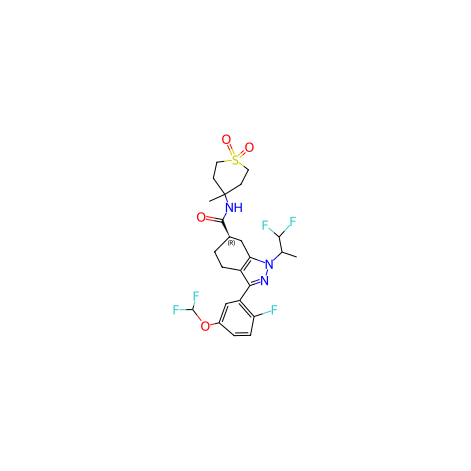 CC(C(F)F)n1nc(-c2cc(OC(F)F)ccc2F)c2c1C[C@H](C(=O)NC1(C)CCS(=O)(=O)CC1)CC2